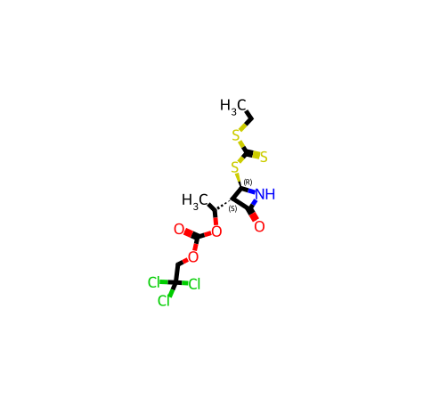 CCSC(=S)S[C@H]1NC(=O)[C@@H]1C(C)OC(=O)OCC(Cl)(Cl)Cl